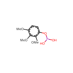 COc1ccc(OP(O)O)c(OC)c1OC